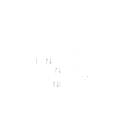 COC(=O)N(N)N